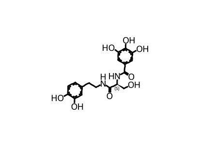 O=C(N[C@@H](CO)C(=O)NCCc1ccc(O)c(O)c1)c1cc(O)c(O)c(O)c1